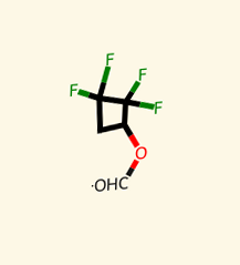 O=[C]OC1CC(F)(F)C1(F)F